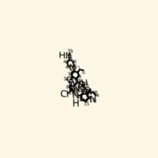 CCc1cc(Nc2ncc(Cl)c(Nc3ccc4nccnc4c3NS(C)(=O)=O)n2)c(OC)cc1N1CCC(NC)CC1